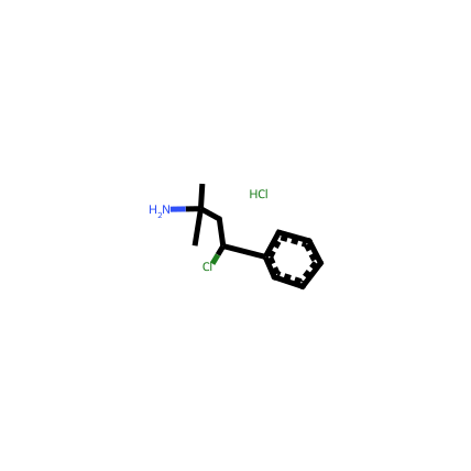 CC(C)(N)CC(Cl)c1ccccc1.Cl